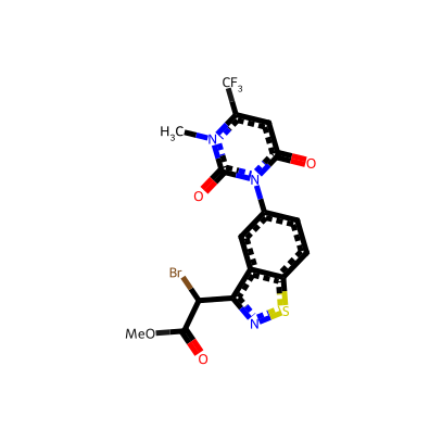 COC(=O)C(Br)c1nsc2ccc(-n3c(=O)cc(C(F)(F)F)n(C)c3=O)cc12